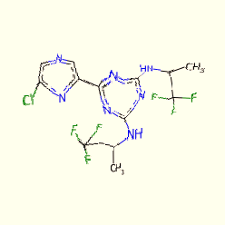 CC(Nc1nc(NC(C)C(F)(F)F)nc(-c2cncc(Cl)n2)n1)C(F)(F)F